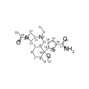 CCN(CC1CCCC(C)C1(OC)c1ccc(C(N)=O)s1)C1CN(C(C)=O)C1